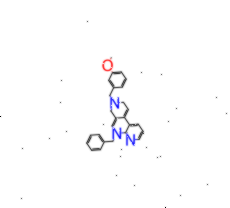 COc1cccc(CN2CC=C3C(=CN(Cc4ccccc4)c4ncccc43)C2)c1